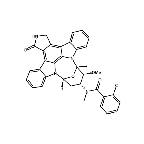 CO[C@@H]1[C@H](N(C)C(=O)c2ccccc2Cl)C[C@H]2O[C@]1(C)n1c3ccccc3c3c4c(c5c6ccccc6n2c5c31)C(=O)NC4